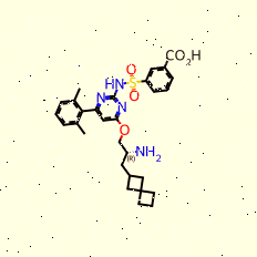 Cc1cccc(C)c1-c1cc(OC[C@H](N)CC2CC3(CCC3)C2)nc(NS(=O)(=O)c2cccc(C(=O)O)c2)n1